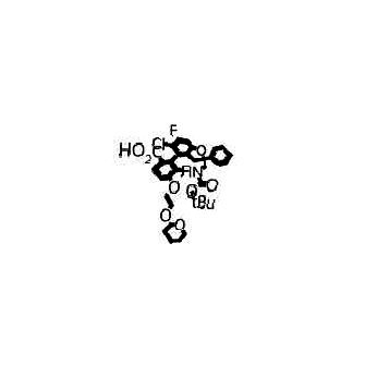 CC(C)(C)OC(=O)NC[C@@]1(c2ccccc2)Cc2c(cc(F)c(Cl)c2-c2c(C(=O)O)ccc(OCCO[C@H]3CCCCO3)c2F)O1